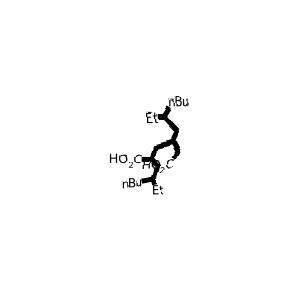 CCCCC(CC)CC(CC(=O)O)CC(CC(CC)CCCC)C(=O)O